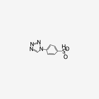 O=[SH](=O)c1ccc(-n2cnnn2)cc1